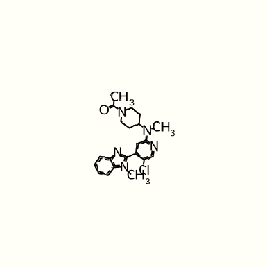 CC(=O)N1CCC(N(C)c2cc(-c3nc4ccccc4n3C)c(Cl)cn2)CC1